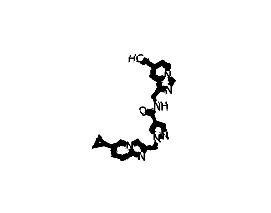 C#Cc1ccn2cnc(CNC(=O)c3cnn(Cc4cn5cc(C6CC6)ccc5n4)c3)c2c1